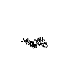 CNC(=O)Oc1ccc2c(N(CCN3CCOCC3)C(=O)NC)noc2c1